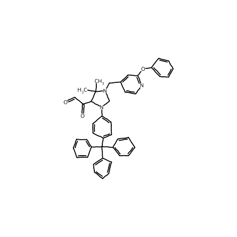 CC1(C)C(C(=O)C=O)N(c2ccc(C(c3ccccc3)(c3ccccc3)c3ccccc3)cc2)CN1Cc1ccnc(Oc2ccccc2)c1